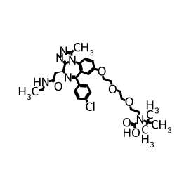 CCNC(=O)C[C@@H]1N=C(c2ccc(Cl)cc2)c2cc(OCCOCCOCCN(C(=O)O)C(C)(C)C)ccc2-n2c(C)nnc21